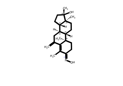 C=C1C[C@@H]2[C@H](CC[C@@]3(C)[C@H]2CC[C@]3(C)O)[C@@]2(C)CC/C(=N\O)C(C)=C12